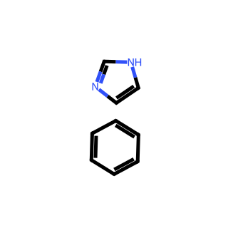 c1c[nH]cn1.c1ccccc1